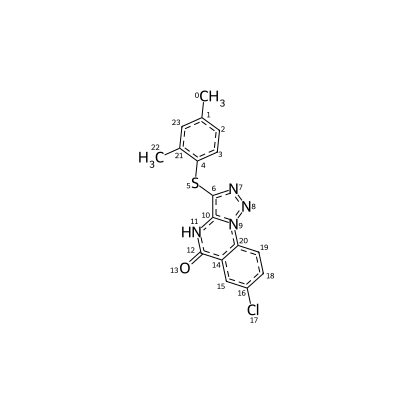 Cc1ccc(Sc2nnn3c2[nH]c(=O)c2cc(Cl)ccc23)c(C)c1